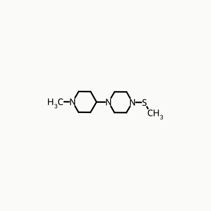 CSN1CCN(C2CCN(C)CC2)CC1